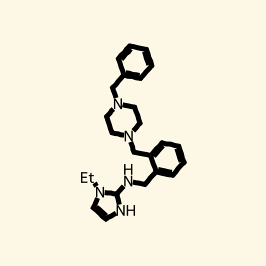 CCN1C=CNC1NCc1ccccc1CN1CCN(Cc2ccccc2)CC1